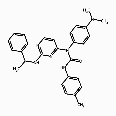 Cc1ccc(NC(=O)N(c2ccc(N(C)C)cc2)c2ccnc(NC(C)c3ccccc3)n2)cc1